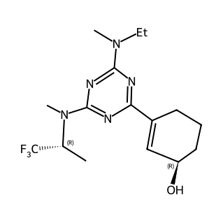 CCN(C)c1nc(C2=C[C@H](O)CCC2)nc(N(C)[C@H](C)C(F)(F)F)n1